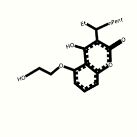 CCCCCC(CC)c1c(O)c2c(OCCO)cccc2oc1=O